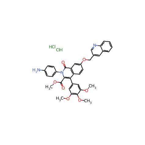 COC(=O)c1c(-c2cc(OC)c(OC)c(OC)c2)c2ccc(OCc3cnc4ccccc4c3)cc2c(=O)n1-c1ccc(N)cc1.Cl.Cl